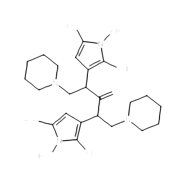 Cc1cc(C(CN2CCCCC2)C(=O)C(CN2CCCCC2)c2cc(C)n(C)c2C)c(C)n1C